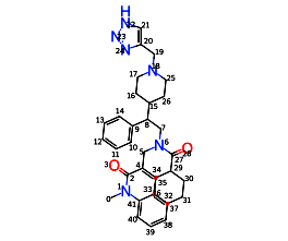 Cn1c(=O)c(CN(CC(c2ccccc2)C2CCN(Cc3c[nH]nn3)CC2)C(=O)C2CCCCC2)cc2ccccc21